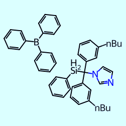 CCCCc1cccc(C([SiH2]c2ccccc2)(c2cccc(CCCC)c2)n2ccnc2)c1.c1ccc(B(c2ccccc2)c2ccccc2)cc1